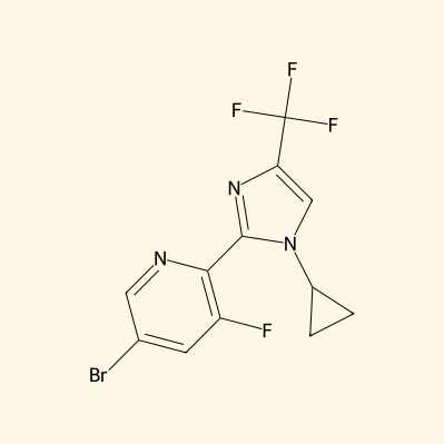 Fc1cc(Br)cnc1-c1nc(C(F)(F)F)cn1C1CC1